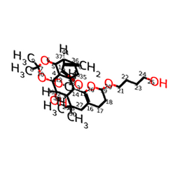 C=C1C(=O)[C@@]23C4OC(C)(C)O[C@]25OC[C@]2(C6=C(CC[C@H](OCCCCO)O6)CC(C)(C)[C@H]2[C@@H]5O)[C@@H]3CC[C@@H]14